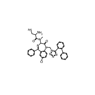 CN(C(=O)C(N)CS)C1N=C(c2ccccc2)c2cc(Cl)ccc2N(Cn2nnnc2-c2ccccc2-c2ccccc2)C1=O